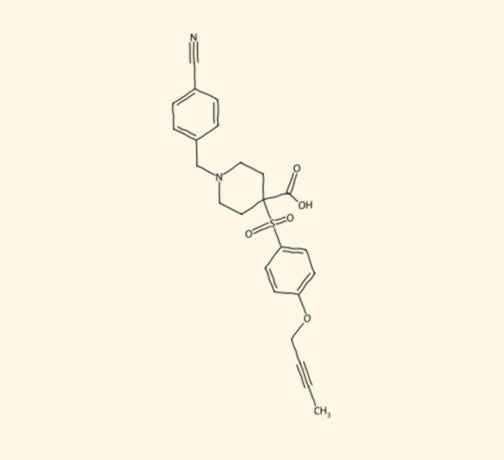 CC#CCOc1ccc(S(=O)(=O)C2(C(=O)O)CCN(Cc3ccc(C#N)cc3)CC2)cc1